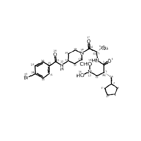 CC(C)(C)[C@H](NC(=O)[C@H](CC1CCCC1)CN(O)C=O)C(=O)N1CCC(NC(=O)c2ccc(Br)cc2)CC1